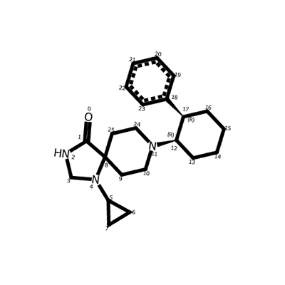 O=C1NCN(C2CC2)C12CCN([C@@H]1CCCC[C@@H]1c1ccccc1)CC2